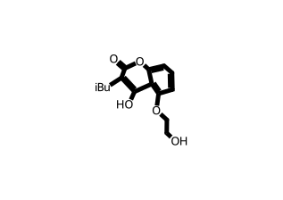 CCC(C)c1c(O)c2c(OCCO)cccc2oc1=O